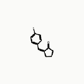 O=C1CCC/C1=C/c1ccc(F)cc1